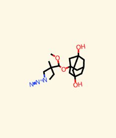 CCC(C)(CN=[N+]=[N-])C(OC)OC12CC3CC(O)(CC(O)(C3)C1)C2